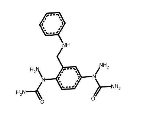 NC(=O)N(N)c1ccc(N(N)C(N)=O)c(CNc2ccccc2)c1